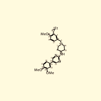 CCOc1cc(CN2CCC(Nc3ncc(-c4ccc(OC)c(OC)c4)cn3)CC2)ccc1OC